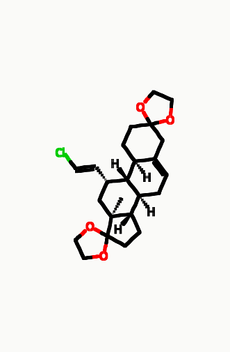 C[C@]12C[C@H](/C=C/Cl)[C@H]3[C@@H](CC=C4CC5(CC[C@@H]43)OCCO5)[C@@H]1CCC21OCCO1